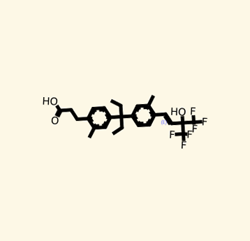 CCC(CC)(c1ccc(/C=C/C(O)(C(F)(F)F)C(F)(F)F)c(C)c1)c1ccc(CCC(=O)O)c(C)c1